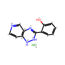 Cl.Oc1ccccc1C1=Nc2cnccc2NN1